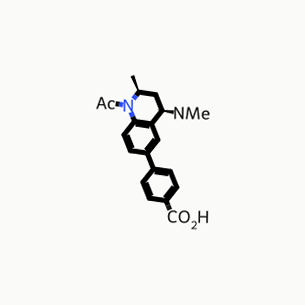 CN[C@@H]1C[C@H](C)N(C(C)=O)c2ccc(-c3ccc(C(=O)O)cc3)cc21